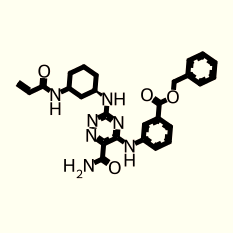 C=CC(=O)NC1CCC[C@@H](Nc2nnc(C(N)=O)c(Nc3cccc(C(=O)OCc4ccccc4)c3)n2)C1